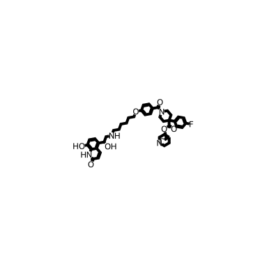 O=C(c1ccc(OCCCCCCNCC(O)c2ccc(O)c3[nH]c(=O)ccc23)cc1)N1CCC(C(=O)OC2CN3CCC2CC3)(c2ccc(F)cc2)CC1